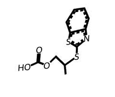 CC(COC(=O)O)Sc1nc2ccccc2s1